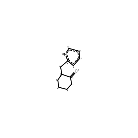 O=C1CCCCC1Cc1ccccn1